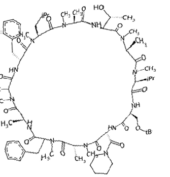 CC(C)C[C@H]1C(=O)N(C)[C@@H](C)C(=O)N[C@@H]([C@@H](C)O)C(=O)N(C)[C@@H](C)C(=O)N(C)[C@@H](C(C)C)C(=O)N[C@@H](COC(C)(C)C)C(=O)N[C@H](C(=O)N2CCCCC2)C(=O)N(C)[C@H](C)C(=O)N(C)C(Cc2ccccc2)C(=O)N[C@@H](C)C(=O)N(C)C(C)C(=O)N[C@H](Cc2ccccc2)C(=O)N1C